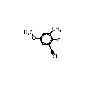 C#Cc1cc(OC)cc(C)c1F